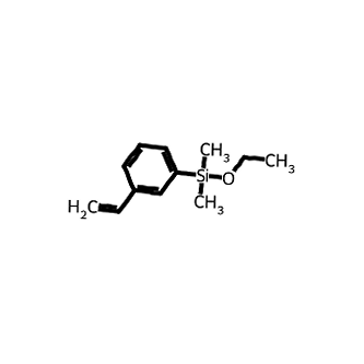 C=Cc1cccc([Si](C)(C)OCC)c1